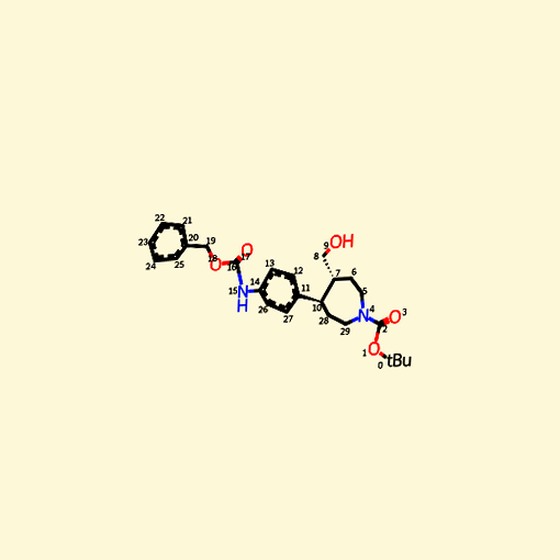 CC(C)(C)OC(=O)N1CC[C@@H](CO)[C@H](c2ccc(NC(=O)OCc3ccccc3)cc2)CC1